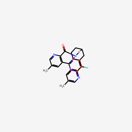 Cc1ccc(OC2CC3CCC2N(C(=O)c2ncc(C)cc2-c2ncc(F)cn2)C3)nc1